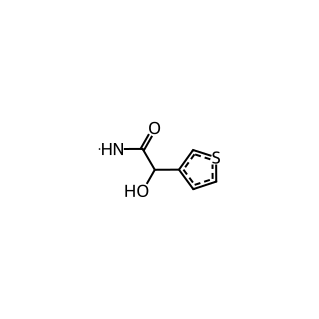 [NH]C(=O)C(O)c1ccsc1